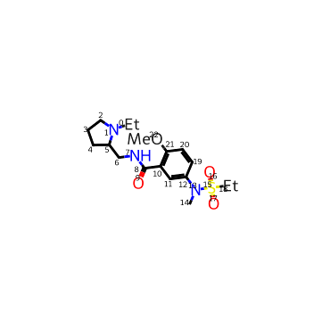 CCN1CCCC1CNC(=O)c1cc(N(C)S(=O)(=O)CC)ccc1OC